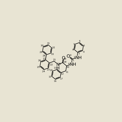 O=C(Nc1ccccc1)NC(Cc1ccccc1)C(=O)NCc1ccccc1-c1ccccc1